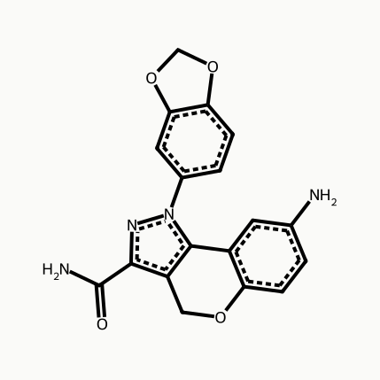 NC(=O)c1nn(-c2ccc3c(c2)OCO3)c2c1COc1ccc(N)cc1-2